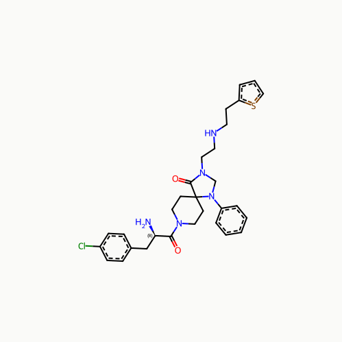 N[C@H](Cc1ccc(Cl)cc1)C(=O)N1CCC2(CC1)C(=O)N(CCNCCc1cccs1)CN2c1ccccc1